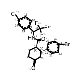 O=C1CC[C@@H](C(=O)NC(c2ccc(Cl)cc2)C(F)(F)F)[C@H](c2ccc(Br)cc2)C1